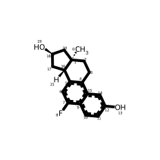 C[C@]12CCc3c(cc(F)c4ccc(O)cc34)[C@@H]1C[C@@H](O)C2